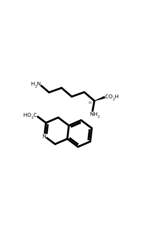 NCCCC[C@H](N)C(=O)O.O=C(O)C1=NCc2ccccc2C1